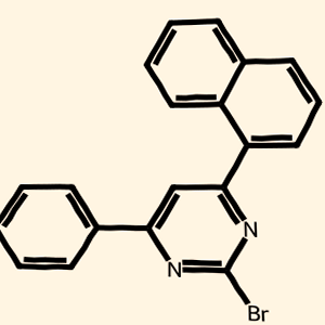 Brc1nc(-c2ccccc2)cc(-c2cccc3ccccc23)n1